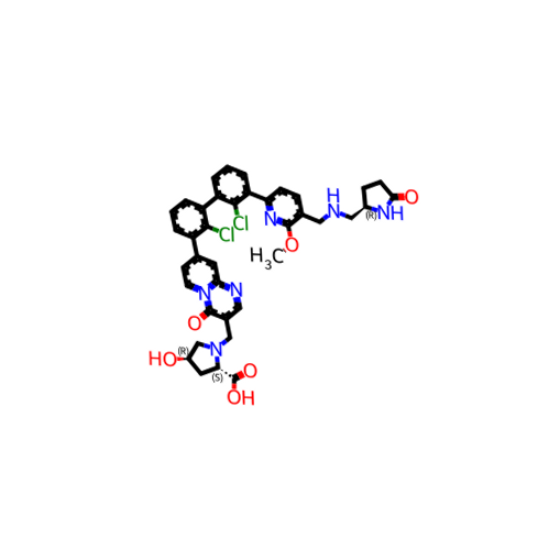 COc1nc(-c2cccc(-c3cccc(-c4ccn5c(=O)c(CN6C[C@H](O)C[C@H]6C(=O)O)cnc5c4)c3Cl)c2Cl)ccc1CNC[C@H]1CCC(=O)N1